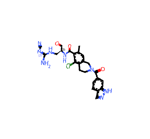 Cc1cc2c(c(Cl)c1C(=O)N[C@H](C=O)CN/C(N)=N\C#N)CCN(C(=O)c1ccc3cn[nH]c3c1)C2